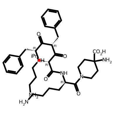 CC(C)C[C@@H](C(=O)N[C@H](CCCCN)C(=O)N1CCC(N)(C(=O)O)CC1)C(=O)[C@@H](Cc1ccccc1)C(=O)[C@@H](Cc1ccccc1)NCCCN